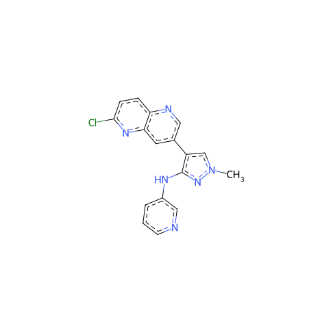 Cn1cc(-c2cnc3ccc(Cl)nc3c2)c(Nc2cccnc2)n1